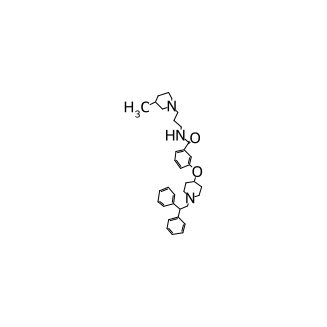 CC1CCCN(CCCNC(=O)c2cccc(OC3CCN(CC(c4ccccc4)c4ccccc4)CC3)c2)C1